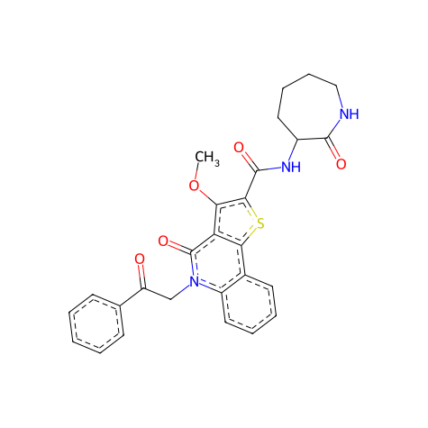 COc1c(C(=O)NC2CCCCNC2=O)sc2c1c(=O)n(CC(=O)c1ccccc1)c1ccccc21